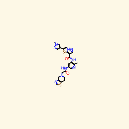 Cc1ncc(NC(=O)CN2CCc3scnc3C2)cc1NC(=O)c1cnn2cc(-c3cnn(C)c3)sc12